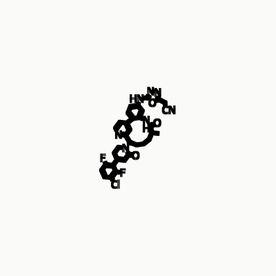 CC1CCCC(N2CCC(c3c(F)ccc(Cl)c3F)=CC2=O)c2cc(ccn2)-c2ccc(Nc3nnc(CC#N)o3)cc2NC1=O